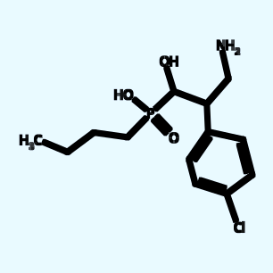 CCCCP(=O)(O)C(O)C(CN)c1ccc(Cl)cc1